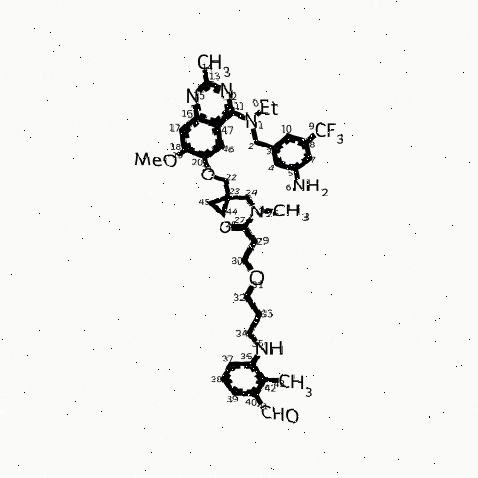 CCN(Cc1cc(N)cc(C(F)(F)F)c1)c1nc(C)nc2cc(OC)c(OCC3(CN(C)C(=O)CCOCCCNc4cccc(C=O)c4C)CC3)cc12